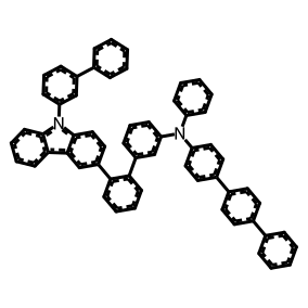 c1ccc(-c2ccc(-c3ccc(N(c4ccccc4)c4cccc(-c5ccccc5-c5ccc6c(c5)c5ccccc5n6-c5cccc(-c6ccccc6)c5)c4)cc3)cc2)cc1